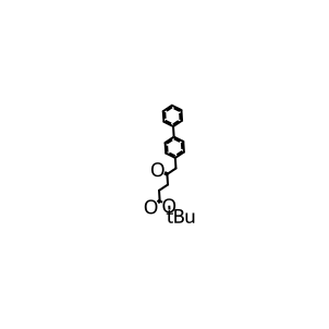 CC(C)(C)OC(=O)CCC(=O)Cc1ccc(-c2ccccc2)cc1